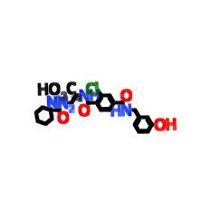 NC1(C(=O)NC[C@H](NC(=O)c2ccc(C(=O)NCc3cccc(O)c3)cc2Cl)C(=O)O)CCCCC1